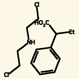 CCC(C(=O)O)c1ccccc1.ClCCNCCCl